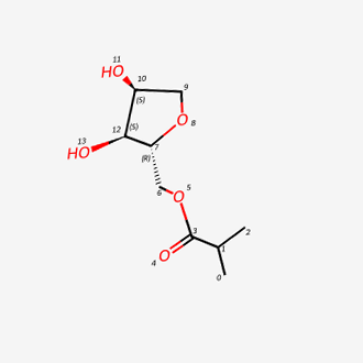 CC(C)C(=O)OC[C@H]1OC[C@H](O)[C@@H]1O